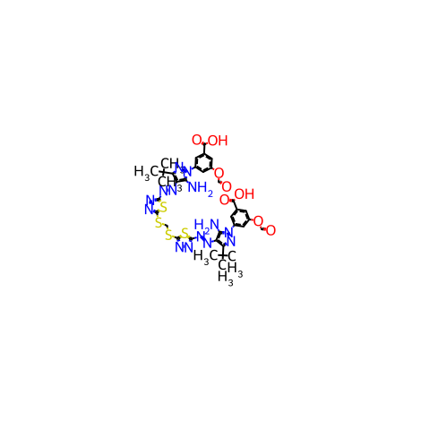 CC(C)(C)c1nn(-c2cc(OC=O)cc(C(=O)O)c2)c(N)c1N=Nc1nnc(SCSc2nnc(N=Nc3c(C(C)(C)C)nn(-c4cc(OC=O)cc(C(=O)O)c4)c3N)s2)s1